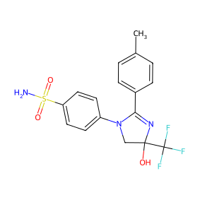 Cc1ccc(C2=NC(O)(C(F)(F)F)CN2c2ccc(S(N)(=O)=O)cc2)cc1